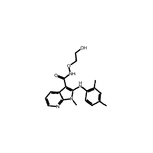 Cc1ccc(Nc2c(C(=O)NOCCO)c3cccnc3n2C)c(C)c1